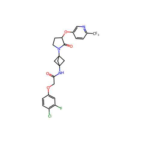 O=C(COc1ccc(Cl)c(F)c1)NC12CC(N3CCC(Oc4ccc(C(F)(F)F)nc4)C3=O)(C1)C2